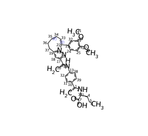 C=C(N[C@@H](CCC)C(=O)O)c1ccc(NC(=C)c2cc3n(n2)/C(c2ccc(OC)c(OC)c2)=C\C=C/CC3)cc1